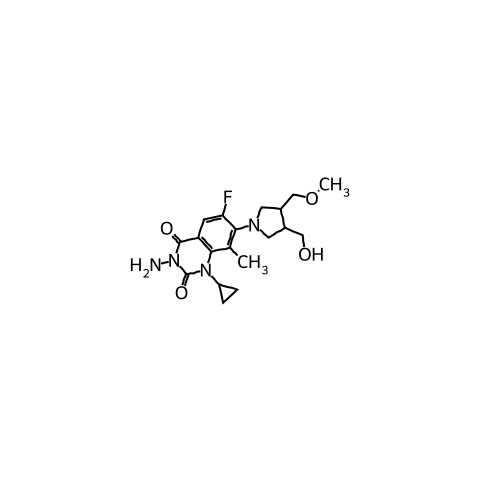 COCC1CN(c2c(F)cc3c(=O)n(N)c(=O)n(C4CC4)c3c2C)CC1CO